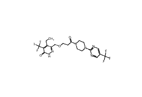 CCc1c(COCCC(=O)N2CCN(c3ncc(C(F)(F)F)cn3)CC2)n[nH]c(=O)c1C(F)(F)F